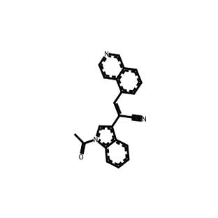 CC(=O)n1cc(/C(C#N)=C/c2cccc3cnccc23)c2ccccc21